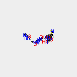 Cc1ncsc1-c1ccc(CNC(=O)[C@@H]2C[C@@H](O)CN2C(=O)[C@@H](NC(=O)CCCC(=O)N2CCN(c3ccc(C(=O)N4CCC(CCCCNC(=O)/C=C/c5cccnc5)CC4)nn3)CC2)C(C)(C)C)cc1